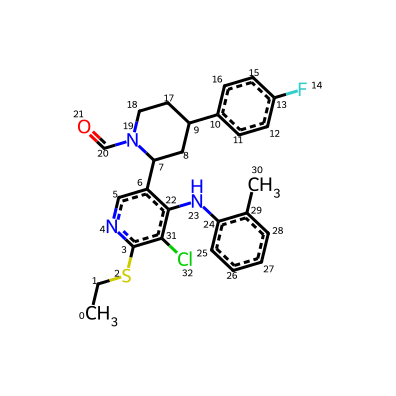 CCSc1ncc(C2CC(c3ccc(F)cc3)CCN2C=O)c(Nc2ccccc2C)c1Cl